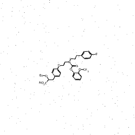 CCOC(Cc1ccc(OCCN(CCCc2ccc(F)cc2)C(=O)Oc2ccccc2OC(F)(F)F)cc1)C(=O)O